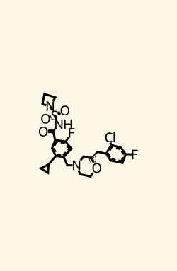 O=C(NS(=O)(=O)N1CCC1)c1cc(C2CC2)c(CN2CCO[C@H](Cc3ccc(F)cc3Cl)C2)cc1F